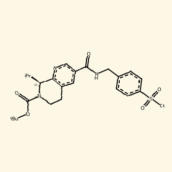 CCS(=O)(=O)c1ccc(CNC(=O)c2cnc3c(c2)CCN(C(=O)OC(C)(C)C)[C@H]3C(C)C)cc1